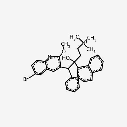 COc1nc2ccc(Br)cc2cc1C(c1ccccc1)C(O)(CC[N+](C)(C)C)c1cccc2ccccc12